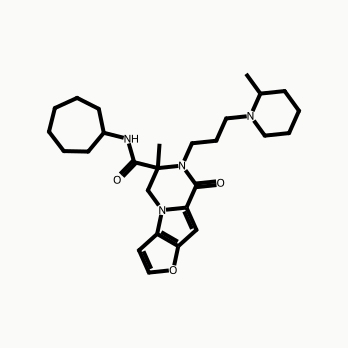 CC1CCCCN1CCCN1C(=O)c2cc3occc3n2CC1(C)C(=O)NC1CCCCCC1